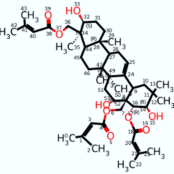 CC(C)=CC(=O)OC[C@@]12C(CC(C)(C)[C@@H](O)[C@@H]1OC(=O)C=C(C)C)C1=CCC3[C@@]4(C)CC[C@H](O)[C@](C)(COC(=O)C=C(C)C)C4CC[C@@]3(C)[C@]1(C)C[C@H]2O